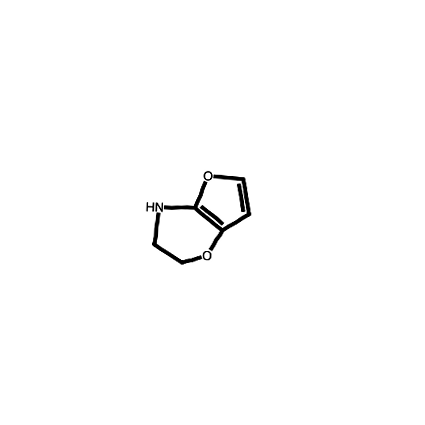 c1cc2c(o1)NCCO2